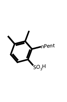 CCCCCc1c(S(=O)(=O)O)ccc(C)c1C